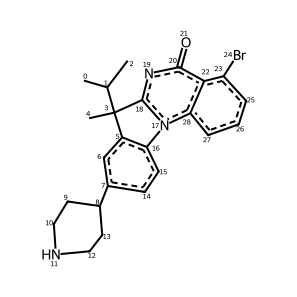 CC(C)C1(C)c2cc(C3CCNCC3)ccc2-n2c1nc(=O)c1c(Br)cccc12